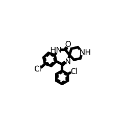 O=C1Nc2ccc(Cl)cc2C(c2ccccc2Cl)=NC12CCNCC2